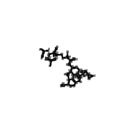 CC(=O)C[C@@H](NC(C)=O)C(=O)NCCN(C)C(=O)OC1=CC[C@@]2(O)[C@H]3Cc4ccc(O)c5c4[C@@]2(CCN3CC2CC2)[C@H]1O5